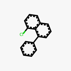 Clc1cccc2cccc(-c3ccccc3)c12